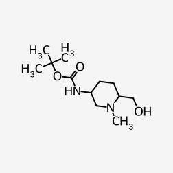 CN1CC(NC(=O)OC(C)(C)C)CCC1CO